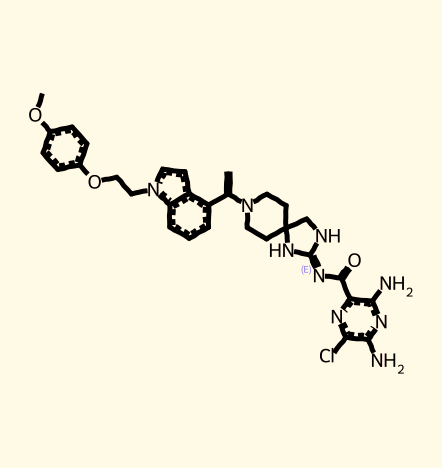 C=C(c1cccc2c1ccn2CCOc1ccc(OC)cc1)N1CCC2(CC1)CN/C(=N\C(=O)c1nc(Cl)c(N)nc1N)N2